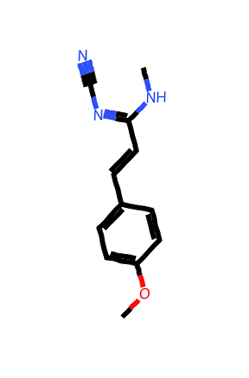 CNC(C=Cc1ccc(OC)cc1)=NC#N